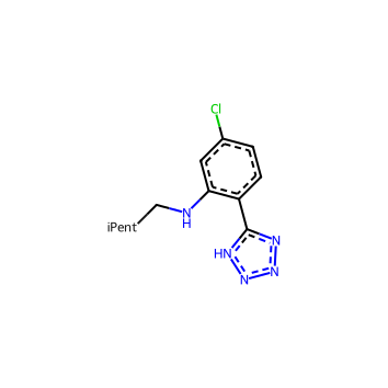 CCCC(C)CNc1cc(Cl)ccc1-c1nnn[nH]1